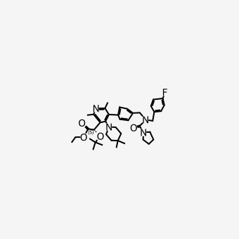 CCOC(=O)[C@@H](OC(C)(C)C)c1c(C)nc(C)c(-c2ccc(CN(Cc3ccc(F)cc3)C(=O)N3CCCC3)cc2)c1N1CCC(C)(C)CC1